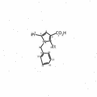 CCc1c(C(=O)O)cc(C(C)C)n1Cc1ccccc1